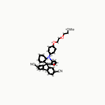 COCCOCCOc1ccc(N2c3ccccc3C3(c4cc(C#N)ccc4-c4ccc(C#N)cc43)c3ccccc32)cc1